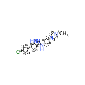 CCN1CCN(c2ccc(Nc3n[nH]c4cc(-c5ccc(Cl)cc5)ccc34)cc2)CC1